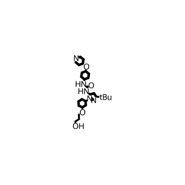 CC(C)(C)c1cc(NC(=O)Nc2ccc(Oc3ccncc3)cc2)n(-c2cccc(OCCCO)c2)n1